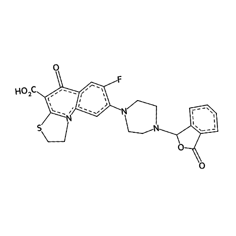 O=C1OC(N2CCN(c3cc4c(cc3F)c(=O)c(C(=O)O)c3n4CCS3)CC2)c2ccccc21